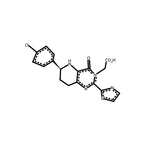 O=C(O)Cn1c(-c2nccs2)nc2c(c1=O)N[C@H](c1ccc(Cl)cc1)CC2